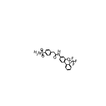 NS(=O)(=O)c1ccc(CC(=O)Nc2ccc(-c3ccccc3OC(F)(F)F)c(Cl)c2)cc1